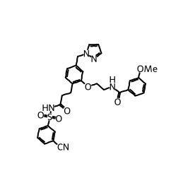 COc1cccc(C(=O)NCCOc2cc(Cn3cccn3)ccc2CCC(=O)NS(=O)(=O)c2cccc(C#N)c2)c1